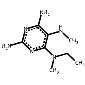 CCN(C)c1nc(N)nc(N)c1NC